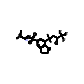 CN(C)/C=N/S(=O)(=O)c1cc2c(c(C(C)(C)CC(=O)C(F)(F)F)c1)OCC2